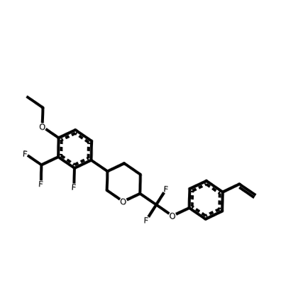 C=Cc1ccc(OC(F)(F)C2CCC(c3ccc(OCC)c(C(F)F)c3F)CO2)cc1